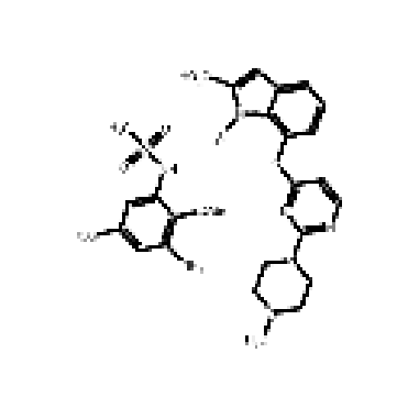 CN1CCN(c2nccc(Oc3cccc4cc(C(=O)O)n(C)c34)n2)CC1.COc1c(N)cc(C(C)(C)C)cc1NS(C)(=O)=O